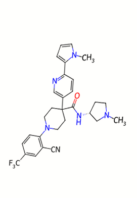 CN1CC[C@@H](NC(=O)C2(c3ccc(-c4cccn4C)nc3)CCN(c3ccc(C(F)(F)F)cc3C#N)CC2)C1